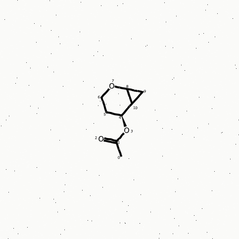 CC(=O)O[C@H]1CCOC2CC21